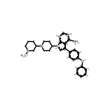 CN1CCCC(N2CCC(n3cc(-c4ccc(Oc5ccccc5)cc4)c4c(N)ncnc43)CC2)C1